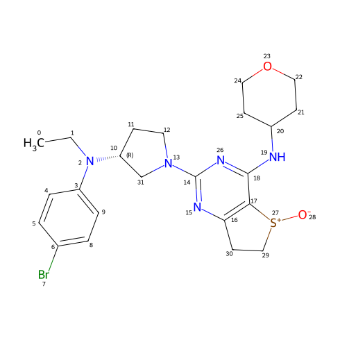 CCN(c1ccc(Br)cc1)[C@@H]1CCN(c2nc3c(c(NC4CCOCC4)n2)[S+]([O-])CC3)C1